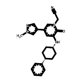 Cn1cc(-c2cc(N[C@H]3CC[C@@H](c4ccccc4)CC3)c(=O)n(CC#N)c2)cn1